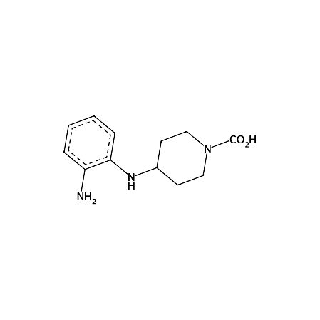 Nc1ccccc1NC1CCN(C(=O)O)CC1